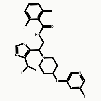 O=C(NCC(c1scnc1C(F)F)N1CCC(Oc2cncc(F)c2)CC1)c1c(F)cccc1Cl